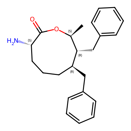 C[C@@H]1OC(=O)[C@@H](N)CCC[C@H](Cc2ccccc2)[C@H]1Cc1ccccc1